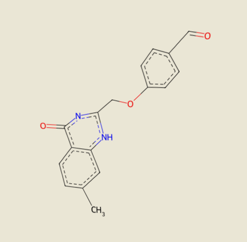 Cc1ccc2c(=O)nc(COc3ccc(C=O)cc3)[nH]c2c1